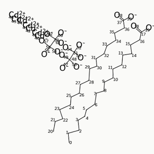 CCCCCCCCCCCCCCCCCC(=O)[O-].CCCCCCCCCCCCCCCCCC(=O)[O-].[Cd+2].[Cd+2].[Cd+2].[Cd+2].[Cd+2].[Cd+2].[Cd+2].[O-]C([O-])([O-])C([O-])([O-])[O-].[O-]C([O-])([O-])C([O-])([O-])[O-]